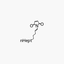 CCCCCCCCCCC=CN1C(=O)C=CC1=O